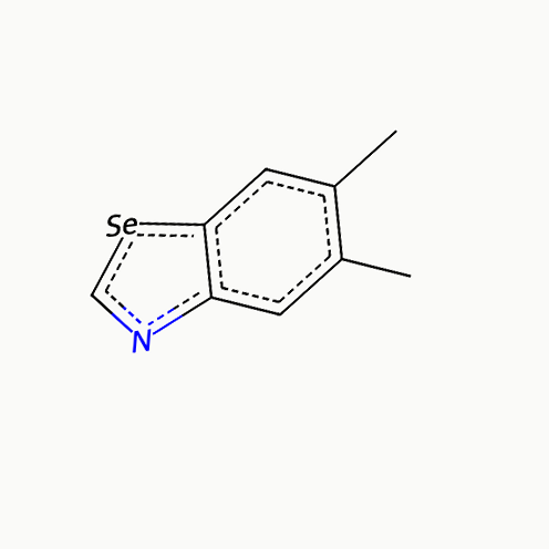 Cc1cc2nc[se]c2cc1C